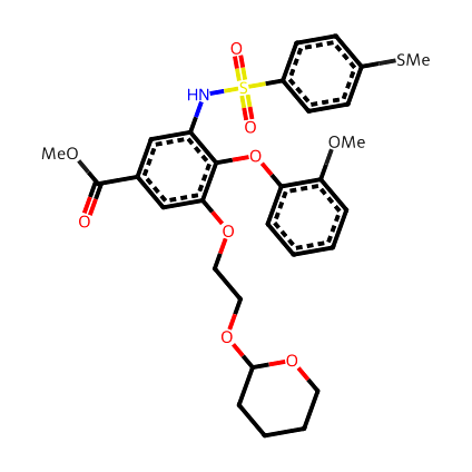 COC(=O)c1cc(NS(=O)(=O)c2ccc(SC)cc2)c(Oc2ccccc2OC)c(OCCOC2CCCCO2)c1